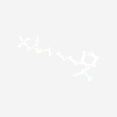 CC(C)(C)OC(=O)NCCCCCCc1ccccc1C(=O)O